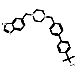 CC(C)(O)c1ccc(-c2ccc(CN3CCN(Cc4ccc5nc[nH]c5c4)CC3)cc2)cc1